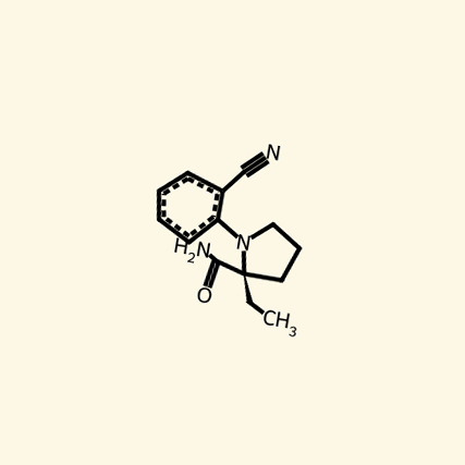 CC[C@]1(C(N)=O)CCCN1c1ccccc1C#N